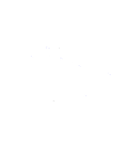 C[C@H]1CCN(C)c2c(F)cnc3cc(F)c(nc23)-n2c(=O)[nH]c3nccc(c32)O1